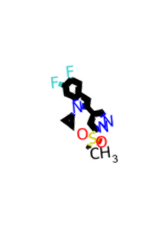 CCS(=O)(=O)c1cc(-c2cc3cc(F)c(F)cc3n2C2CC2)cnn1